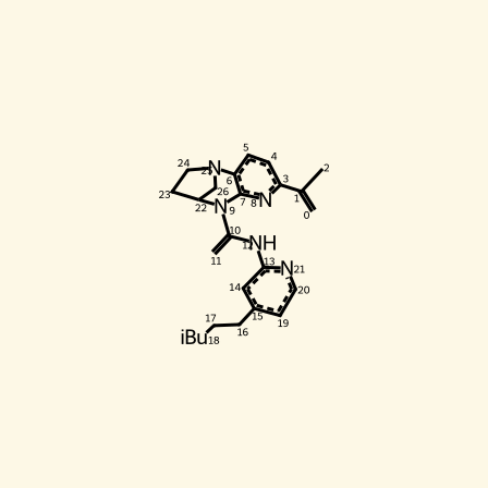 C=C(C)c1ccc2c(n1)N(C(=C)Nc1cc(CCC(C)CC)ccn1)C1CCN2C1